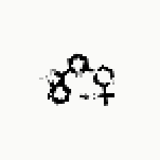 COC(C)(C)C1CN(c2cccc(-c3n[nH]c4ncccc34)n2)CCN1